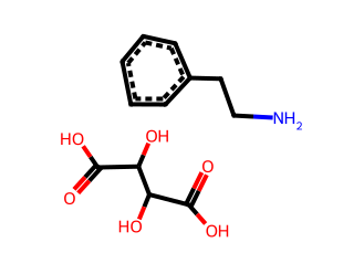 NCCc1ccccc1.O=C(O)C(O)C(O)C(=O)O